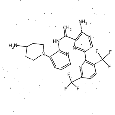 C=C(Nc1ncccc1N1CCC(N)CC1)c1nc(-c2nc(C(F)(F)F)ccc2C(F)(F)F)cnc1N